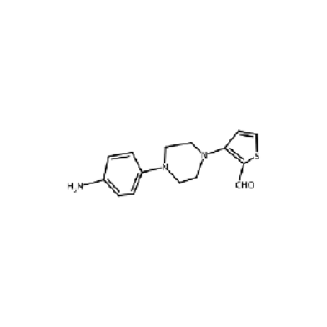 Nc1ccc(N2CCN(c3ccsc3C=O)CC2)cc1